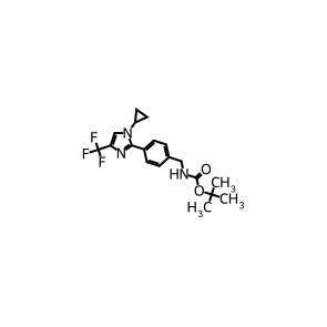 CC(C)(C)OC(=O)NCc1ccc(-c2nc(C(F)(F)F)cn2C2CC2)cc1